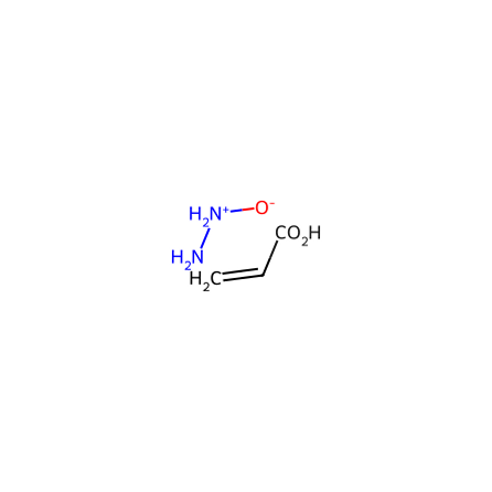 C=CC(=O)O.N[NH2+][O-]